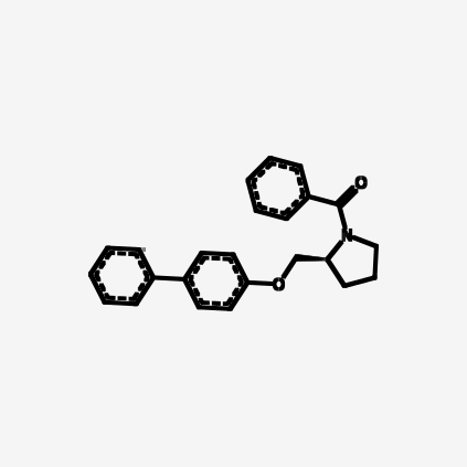 O=C(c1ccccc1)N1CCC[C@H]1COc1ccc(-c2[c]cccc2)cc1